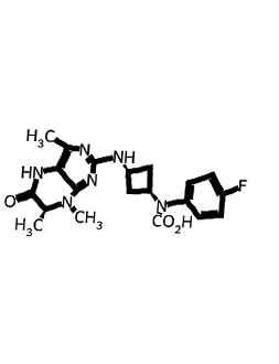 Cc1nc(N[C@H]2C[C@H](N(C(=O)O)c3ccc(F)cc3)C2)nc2c1NC(=O)[C@H](C)N2C